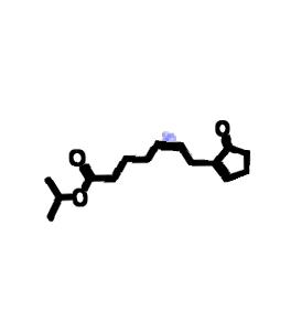 CC(C)OC(=O)CCC/C=C\CC1=CCCC1=O